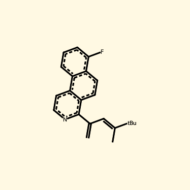 C=C(/C=C(\C)C(C)(C)C)c1nccc2c1ccc1c(F)cccc12